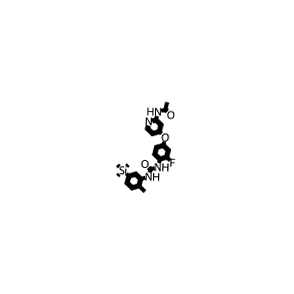 CC(=O)Nc1cc(Oc2ccc(NC(=O)Nc3cc([Si](C)(C)C)ccc3C)c(F)c2)ccn1